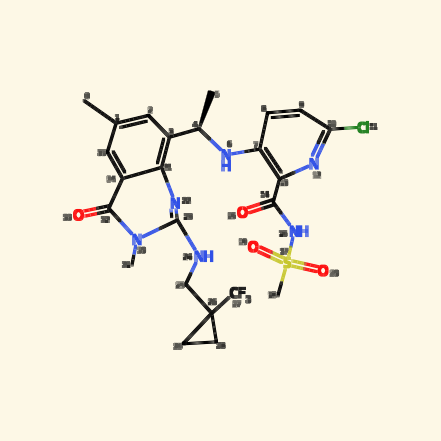 Cc1cc([C@@H](C)Nc2ccc(Cl)nc2C(=O)NS(C)(=O)=O)c2nc(NCC3(C(F)(F)F)CC3)n(C)c(=O)c2c1